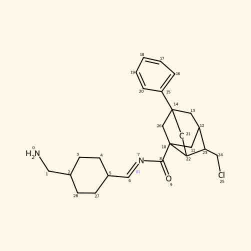 NCC1CCC(/C=N/C(=O)C23CC4CC(c5ccccc5)(CC2C4CCl)C3)CC1